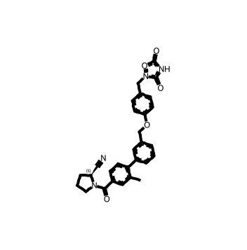 Cc1cc(C(=O)N2CCC[C@H]2C#N)ccc1-c1cccc(COc2ccc(Cn3oc(=O)[nH]c3=O)cc2)c1